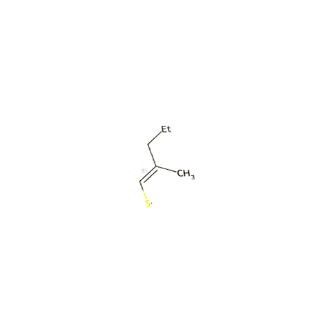 CCC/C(C)=C/[S]